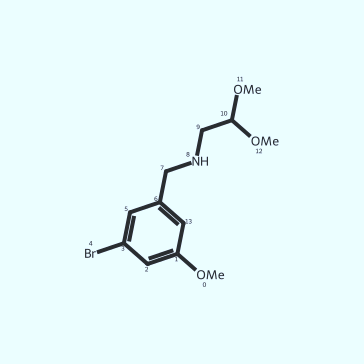 COc1cc(Br)cc(CNCC(OC)OC)c1